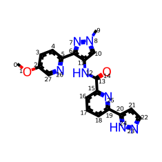 COc1ccc(-c2nn(C)cc2NC(=O)c2cccc(-c3ccn[nH]3)n2)nc1